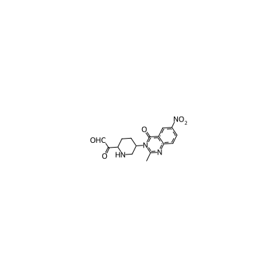 Cc1nc2ccc([N+](=O)[O-])cc2c(=O)n1C1CCC(C(=O)C=O)NC1